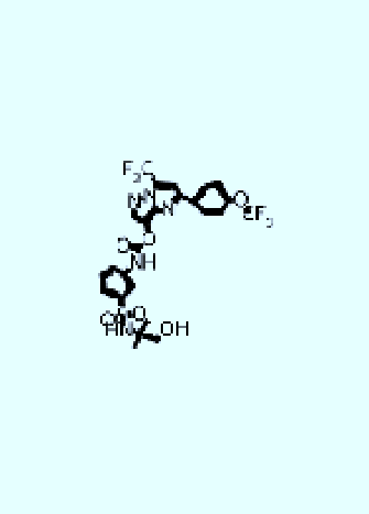 CC(C)(CO)NS(=O)(=O)c1cccc(NC(=O)Oc2cnn3c(C(F)(F)F)cc(-c4ccc(OC(F)(F)F)cc4)nc23)c1